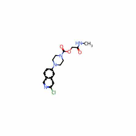 CNC(=O)COC(=O)N1CCN(c2ccc3cnc(Cl)cc3c2)CC1